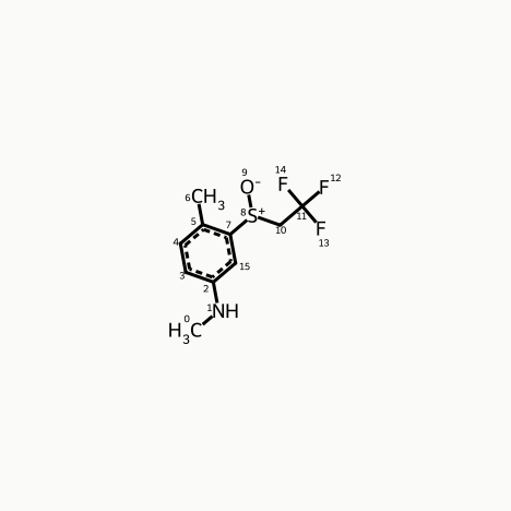 CNc1ccc(C)c([S+]([O-])CC(F)(F)F)c1